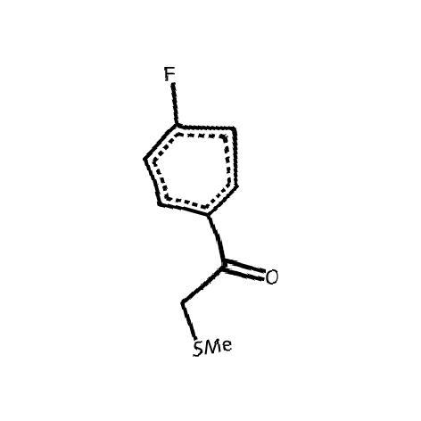 CSCC(=O)c1ccc(F)cc1